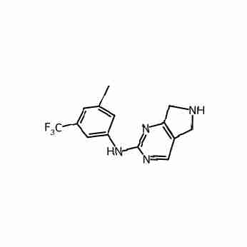 Cc1cc(Nc2ncc3c(n2)CNC3)cc(C(F)(F)F)c1